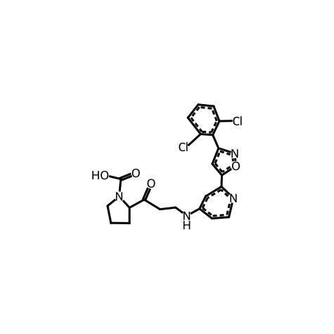 O=C(CCNc1ccnc(-c2cc(-c3c(Cl)cccc3Cl)no2)c1)C1CCCN1C(=O)O